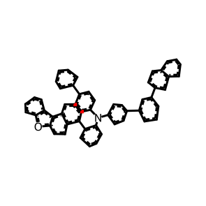 c1ccc(-c2ccc(N(c3ccc(-c4cccc(-c5ccc6ccccc6c5)c4)cc3)c3ccccc3-c3cccc4c3ccc3oc5ccccc5c34)cc2)cc1